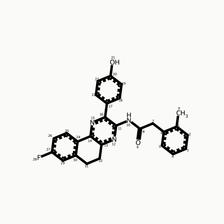 Cc1ccccc1CC(=O)Nc1nc2c(nc1-c1ccc(O)cc1)-c1ccc(F)cc1CC2